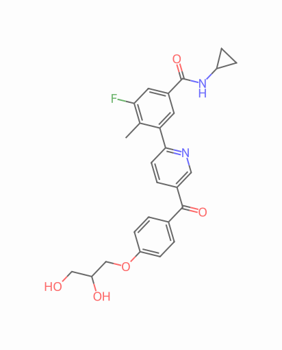 Cc1c(F)cc(C(=O)NC2CC2)cc1-c1ccc(C(=O)c2ccc(OCC(O)CO)cc2)cn1